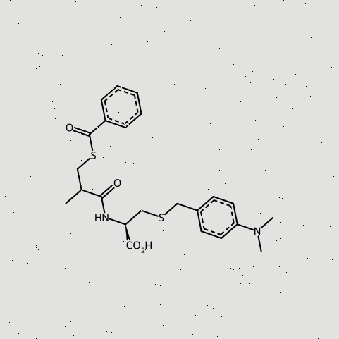 CC(CSC(=O)c1ccccc1)C(=O)N[C@@H](CSCc1ccc(N(C)C)cc1)C(=O)O